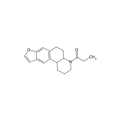 CCC(=O)N1CCCC2c3cc4ccoc4cc3CCC21